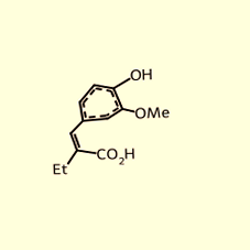 CC/C(=C/c1ccc(O)c(OC)c1)C(=O)O